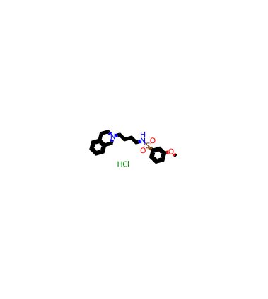 COc1cccc(S(=O)(=O)NCCCCN2CCc3ccccc3C2)c1.Cl